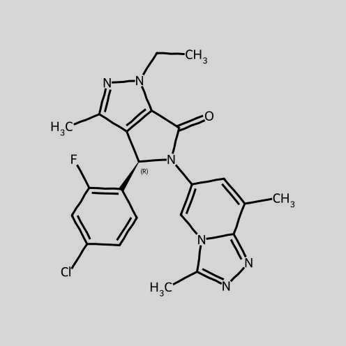 CCn1nc(C)c2c1C(=O)N(c1cc(C)c3nnc(C)n3c1)[C@H]2c1ccc(Cl)cc1F